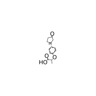 CC(Oc1ccc([C@@H]2CCC(=O)C2)cc1)C(=O)O